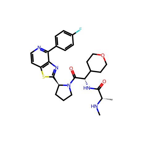 CN[C@@H](C)C(=O)N[C@H](C(=O)N1CCC[C@H]1c1nc2c(-c3ccc(F)cc3)nccc2s1)C1CCOCC1